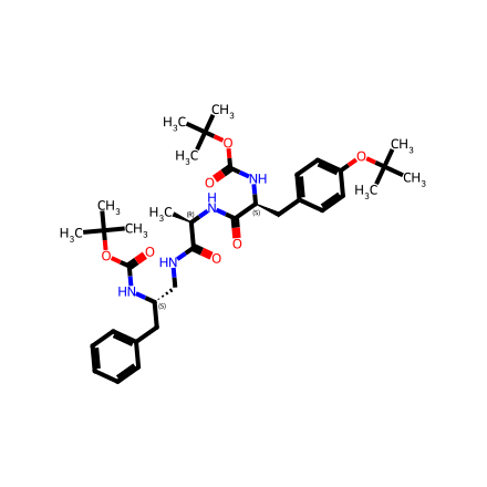 C[C@@H](NC(=O)[C@H](Cc1ccc(OC(C)(C)C)cc1)NC(=O)OC(C)(C)C)C(=O)NC[C@H](Cc1ccccc1)NC(=O)OC(C)(C)C